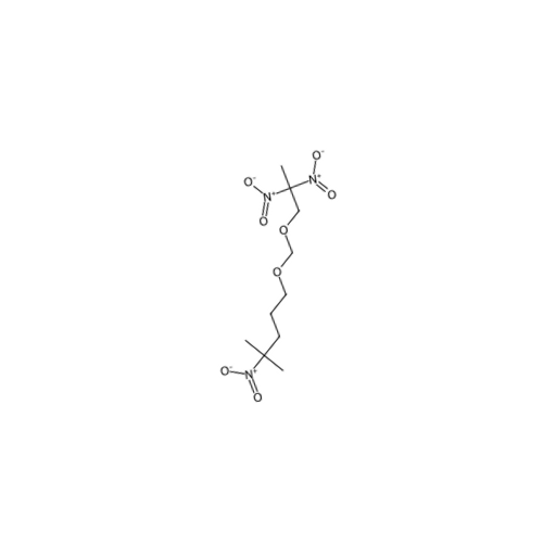 CC(C)(CCCOCOCC(C)([N+](=O)[O-])[N+](=O)[O-])[N+](=O)[O-]